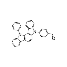 O=Cc1ccc(-n2c3ccccc3c3c2ccc2c4ccccc4n(-c4ccccc4)c23)cc1